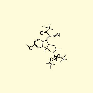 [CH2]C(C)(C)C(=O)C(C#N)=C1c2ccc(OC)cc2C(C)(C)C1CC(C)C[Si](C)(O[Si](C)(C)C)O[Si](C)(C)C